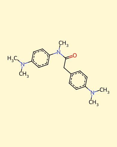 CN(C)c1ccc(CC(=O)N(C)c2ccc(N(C)C)cc2)cc1